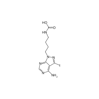 Nc1ncnc2c1c(I)nn2CCCCNC(=O)O